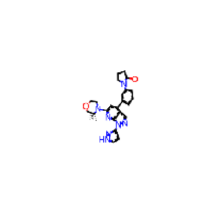 C[C@@H]1COCCN1c1cc(-c2cccc(N3CCCC3=O)c2)c2cnn(-c3cc[nH]n3)c2n1